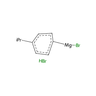 Br.CC(C)c1cc[c]([Mg][Br])cc1